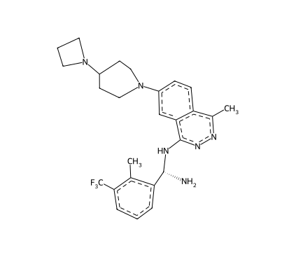 Cc1c([C@@H](N)Nc2nnc(C)c3ccc(N4CCC(N5CCC5)CC4)cc23)cccc1C(F)(F)F